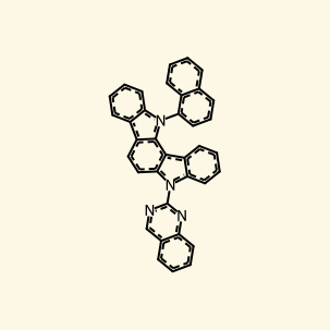 c1ccc2nc(-n3c4ccccc4c4c3ccc3c5ccccc5n(-c5cccc6ccccc56)c34)ncc2c1